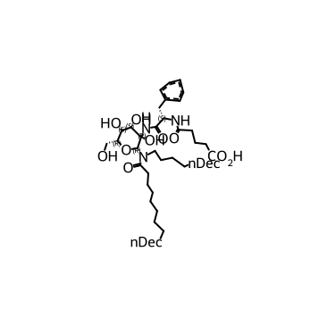 CCCCCCCCCCCCCCCCCC(=O)N(CCCCCCCCCCCCCC)[C@@H]1O[C@H](CO)[C@@H](O)[C@H](O)[C@]1(O)NC(=O)[C@H](Cc1ccccc1)NC(=O)CCCC(=O)O